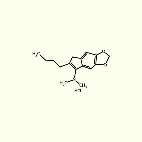 CCCCC1=C(N(C)C)c2cc3c(cc2C1)OCO3.Cl